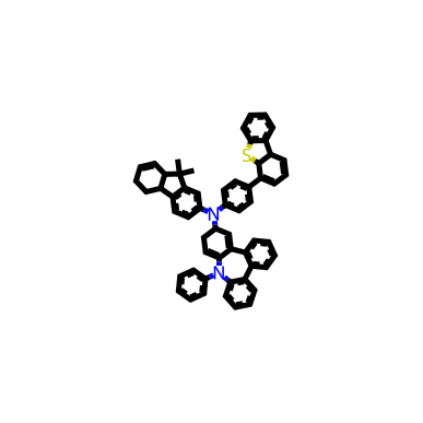 CC1(C)c2cc(N(c3ccc(C4=CC=CC5c6ccccc6SC45)cc3)C3C=C4C(=CC3)N(c3ccccc3)c3ccccc3-c3ccccc34)ccc2C2CCC=CC21